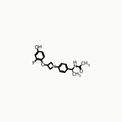 CC(=O)N[C@@H](C)c1ccc(N2CC(Oc3ccc(O)cc3F)C2)cc1